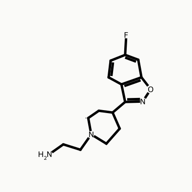 NCCN1[CH]CC(c2noc3cc(F)ccc23)CC1